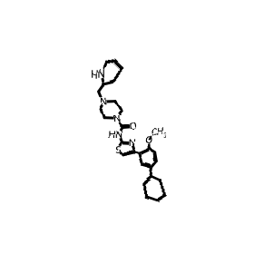 COc1ccc(C2CCCCC2)cc1-c1csc(NC(=O)N2CCN(CC3CCCCN3)CC2)n1